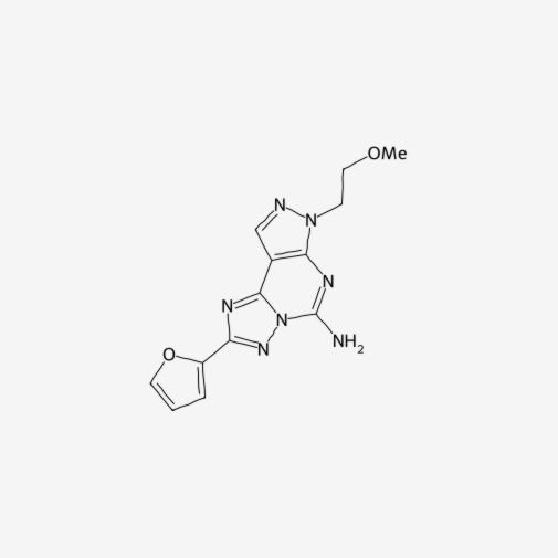 COCCn1ncc2c1nc(N)n1nc(-c3ccco3)nc21